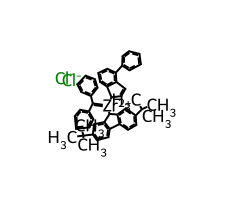 CC(C)(C)c1ccc2c(c1)[CH]([Zr+2](=[C](c1ccccc1)c1ccccc1)[CH]1C=Cc3c(-c4ccccc4)cccc31)c1cc(C(C)(C)C)ccc1-2.[Cl-].[Cl-]